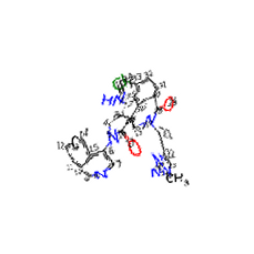 CC(C)NC[C@H]1CN(c2cncc3ccccc23)C(=O)[C@]12CN(Cc1cn(C)nn1)C(=O)c1ccc(Cl)cc12